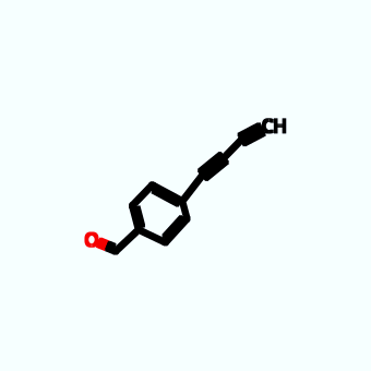 C#CC#Cc1ccc(C=O)cc1